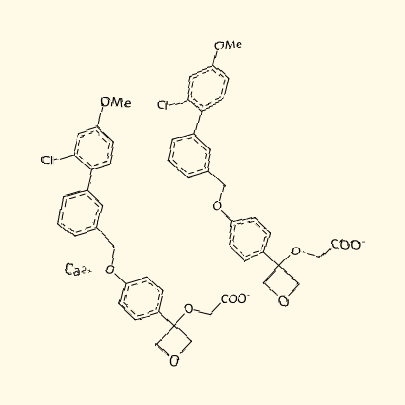 COc1ccc(-c2cccc(COc3ccc(C4(OCC(=O)[O-])COC4)cc3)c2)c(Cl)c1.COc1ccc(-c2cccc(COc3ccc(C4(OCC(=O)[O-])COC4)cc3)c2)c(Cl)c1.[Ca+2]